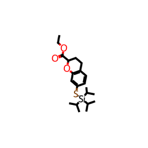 CCOC(=O)C1CCc2ccc(S[Si](C(C)C)(C(C)C)C(C)C)cc2O1